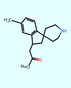 COC(=O)CC1CC2(CCNCC2)c2ccc(C)cc21